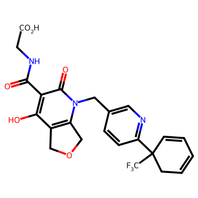 O=C(O)CNC(=O)c1c(O)c2c(n(Cc3ccc(C4(C(F)(F)F)C=CC=CC4)nc3)c1=O)COC2